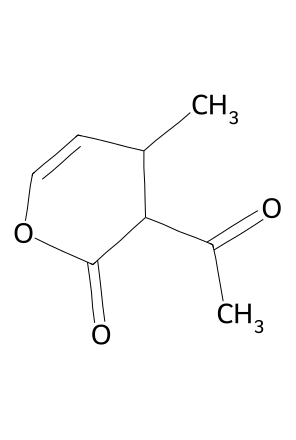 CC(=O)C1C(=O)OC=CC1C